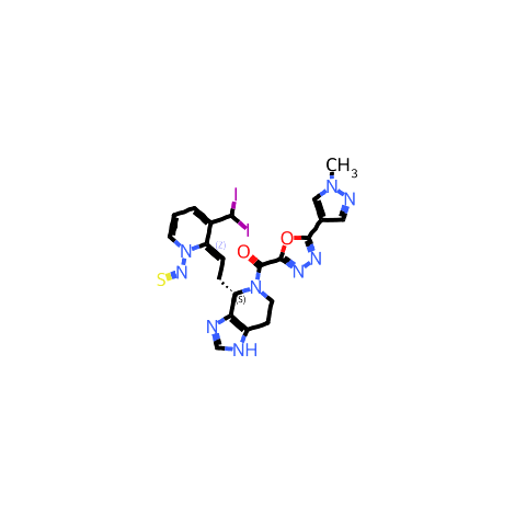 Cn1cc(-c2nnc(C(=O)N3CCc4[nH]cnc4[C@@H]3C/C=C3/C(C(I)I)=CC=CN3N=S)o2)cn1